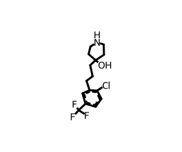 OC1(CCCc2cc(C(F)(F)F)ccc2Cl)CCNCC1